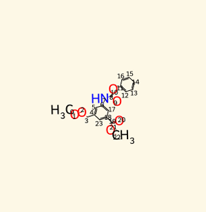 COOCc1cc(NC(=O)Oc2ccccc2)cc(C(=O)OC)c1